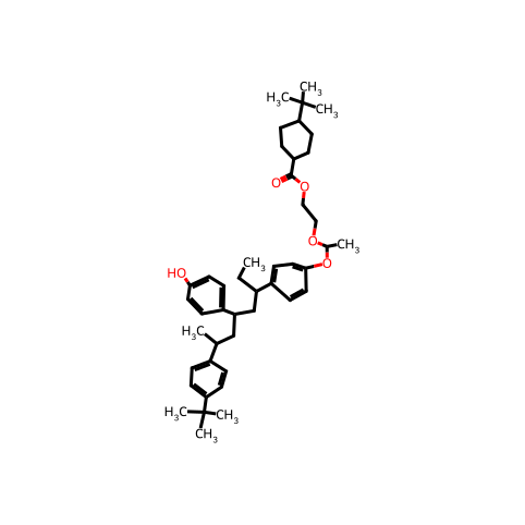 CCC(CC(CC(C)c1ccc(C(C)(C)C)cc1)c1ccc(O)cc1)c1ccc(OC(C)OCCOC(=O)C2CCC(C(C)(C)C)CC2)cc1